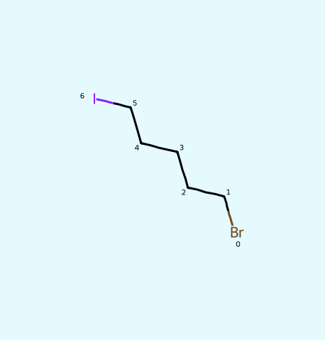 BrCCCCCI